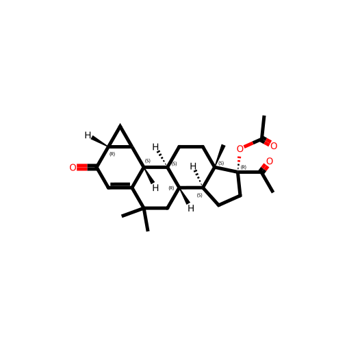 CC(=O)O[C@]1(C(C)=O)CC[C@H]2[C@@H]3CC(C)(C)C4=CC(=O)[C@@H]5CC5[C@@H]4[C@H]3CC[C@@]21C